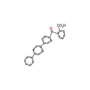 O=C(O)c1ccccc1C(=O)c1ccc(-c2ccc(-c3ccccc3)cc2)cc1